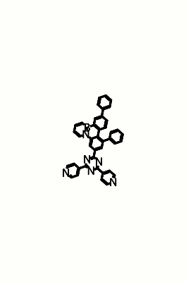 C1=CB2c3cc(-c4ccccc4)ccc3-c3c(-c4ccccc4)cc(-c4nc(-c5ccncc5)nc(-c5ccncc5)n4)cc3N2C=C1